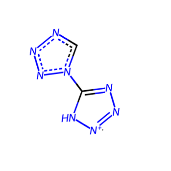 c1nnnn1C1=NN=[N+]N1